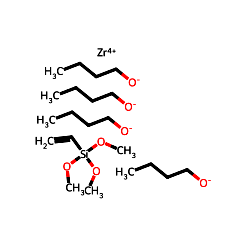 C=C[Si](OC)(OC)OC.CCCC[O-].CCCC[O-].CCCC[O-].CCCC[O-].[Zr+4]